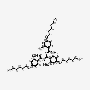 C=C(/N=C(\N=C(/N)c1ccc(OCCCCCC(C)C)cc1O)c1ccc(OCCCCCC(C)C)cc1O)c1ccc(OCCCCCC(C)C)cc1O